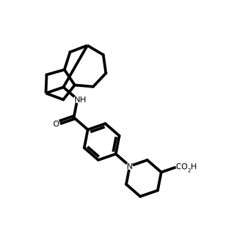 O=C(NC1C2CCCC3CC1CC3C2)c1ccc(N2CCCC(C(=O)O)C2)cc1